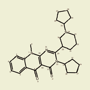 Cn1c2ccccc2c(=O)c2c(=O)n(C3CCCC3)c(C3CCCN(C4CCCC4)C3)nc21